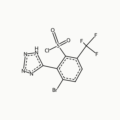 O=S(=O)(Cl)c1c(C(F)(F)F)ccc(Br)c1-c1nnn[nH]1